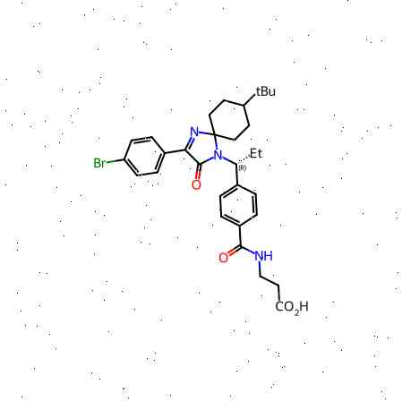 CC[C@H](c1ccc(C(=O)NCCC(=O)O)cc1)N1C(=O)C(c2ccc(Br)cc2)=NC12CCC(C(C)(C)C)CC2